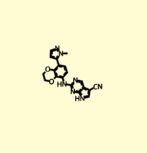 Cn1nccc1-c1ccc(Nc2ncc3c(C#N)c[nH]c3n2)c2c1OCCO2